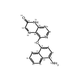 Nc1ccc(Oc2ncnc3[nH]c(=O)cnc23)c2ccccc12